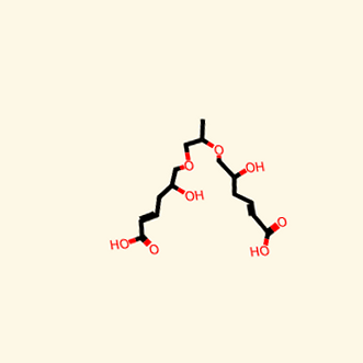 CC(COCC(O)CC=CC(=O)O)OCC(O)CC=CC(=O)O